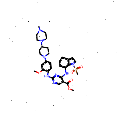 COC(=O)c1cnc(Nc2ccc(N3CCC(N4CCN(C)CC4)CC3)cc2OC)nc1Nc1cccc2ccn(S(C)(=O)=O)c12